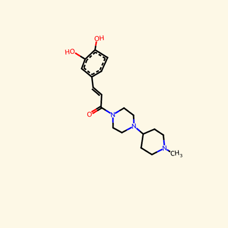 CN1CCC(N2CCN(C(=O)C=Cc3ccc(O)c(O)c3)CC2)CC1